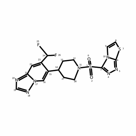 O=S(=O)(c1nnc2sccn12)N1CCC(c2cn3ncnc3cc2C(F)F)CC1